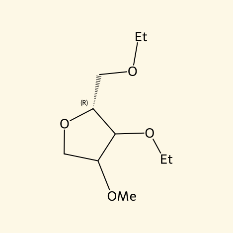 CCOC[C@H]1OCC(OC)C1OCC